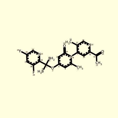 BC(B)(Oc1cc(C)n(-c2cc(C(C)=O)ncc2C)c(=O)c1)c1ncc(F)cc1F